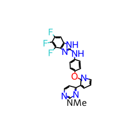 CNc1nccc(-c2cccnc2Oc2ccc(Nc3nc4c(F)c(F)c(F)cc4[nH]3)cc2)n1